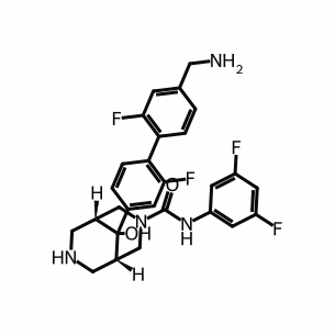 NCc1ccc(-c2ccc(C3(O)[C@@H]4CNC[C@H]3CN(C(=O)Nc3cc(F)cc(F)c3)C4)cc2F)c(F)c1